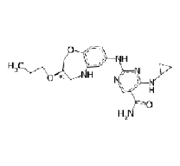 CCCO[C@@H]1CNc2cc(Nc3ncc(C(N)=O)c(NC4CC4)n3)ccc2OC1